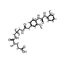 COc1cc(CC(=O)NCC(C)(C)CNC(=O)N(C)CCC(=O)O)ccc1NC(=O)Nc1ccccc1C